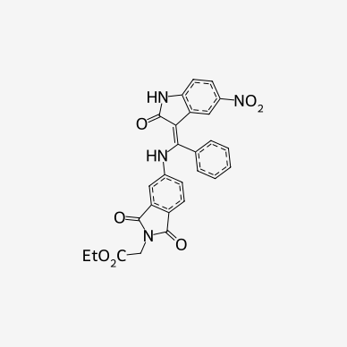 CCOC(=O)CN1C(=O)c2ccc(NC(=C3C(=O)Nc4ccc([N+](=O)[O-])cc43)c3ccccc3)cc2C1=O